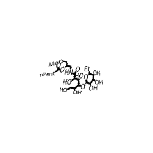 CCCCCC(=O)OC(CNC(=O)C(O)C(O)C(O[C@H]1OC(CC)[C@@H](O)C(O)[C@H]1O)C(O)CO)COC